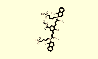 CCOC(=O)C1CC(/C=C/C(C)=[N+](\CCCCS(=O)(=O)O)c2ccc3ccccc3c2C)=C(Cl)C(=C/C=C(\C)N(CCCCS(=O)(=O)O)c2ccc3ccccc3c2C)/C1